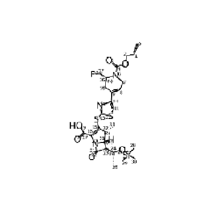 C=CCOC(=O)N1CC=C(c2csc(SC3=C(C(=O)O)N4C(=O)[C@H]([C@@H](C)O[Si](C)(C)C)[C@H]4[C@H]3C)n2)C[C@H]1CF